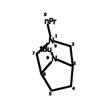 CCCN1CC2CCC(C1)N2C(C)(C)C